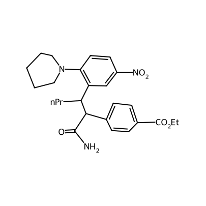 CCCC(c1cc([N+](=O)[O-])ccc1N1CCCCC1)C(C(N)=O)c1ccc(C(=O)OCC)cc1